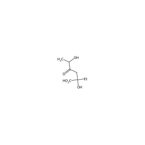 CCC(O)(CC(=O)C(C)O)C(=O)O